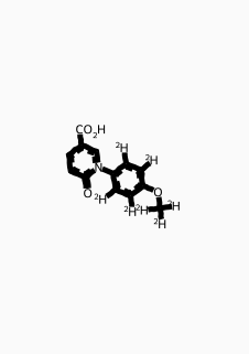 [2H]c1c([2H])c(-n2cc(C(=O)O)ccc2=O)c([2H])c([2H])c1OC([2H])([2H])[2H]